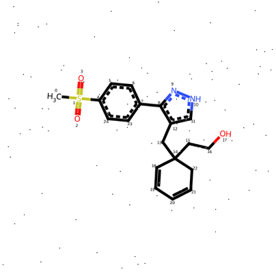 CS(=O)(=O)c1ccc(-c2n[nH]cc2CC2(CCO)C=CC=CC2)cc1